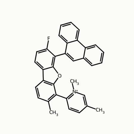 Cc1ccc(-c2c(C)ccc3c2oc2c(-c4cc5ccccc5c5ccccc45)c(F)ccc23)[n+](C)c1